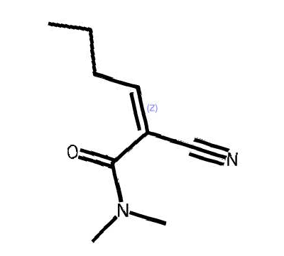 CCC/C=C(/C#N)C(=O)N(C)C